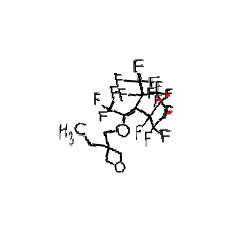 CCC1(COC(=C(C(F)(C(F)(F)F)C(F)(F)F)C(F)(C(F)(F)F)C(F)(F)F)C(F)(F)F)COC1